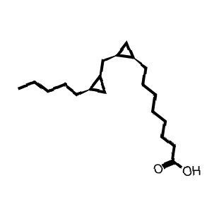 CCCCC[C@@H]1CC1C[C@H]1C[C@H]1CCCCCCCC(=O)O